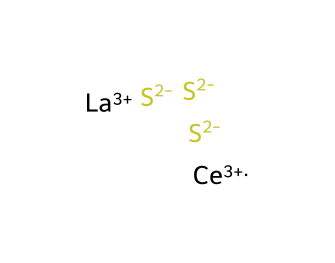 [Ce+3].[La+3].[S-2].[S-2].[S-2]